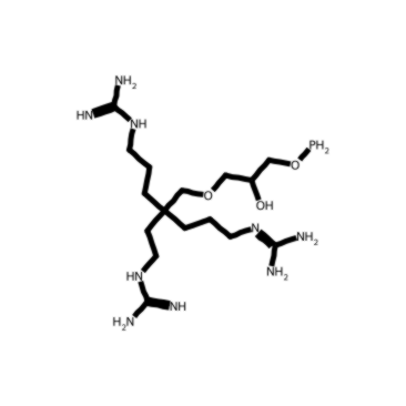 N=C(N)NCCCC(CCCN=C(N)N)(CCNC(=N)N)COCC(O)COP